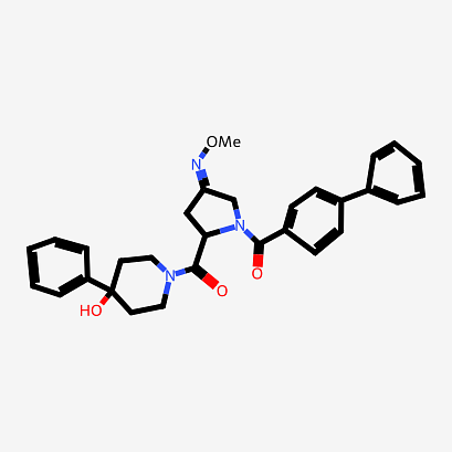 CON=C1CC(C(=O)N2CCC(O)(c3ccccc3)CC2)N(C(=O)c2ccc(-c3ccccc3)cc2)C1